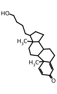 CC12C=CC(=O)C=C1CCC1C2CCC2(C)C(CCCCO)CCC12